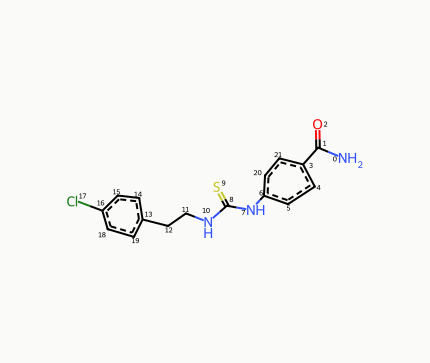 NC(=O)c1ccc(NC(=S)NCCc2ccc(Cl)cc2)cc1